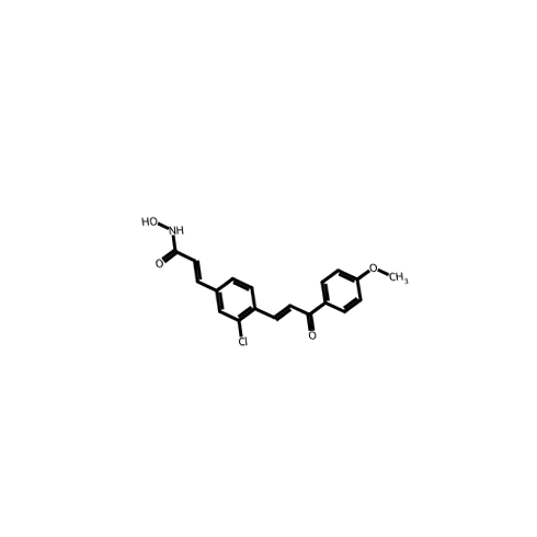 COc1ccc(C(=O)C=Cc2ccc(C=CC(=O)NO)cc2Cl)cc1